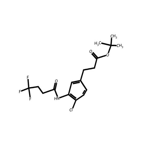 CC(C)(C)OC(=O)CCc1ccc(Cl)c(NC(=O)CCC(F)(F)F)c1